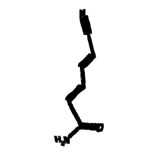 N#CC=CC=CC(N)=O